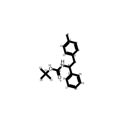 Cc1ccc(CC(NC(=O)OC(C)(C)C)c2ccccc2)cc1